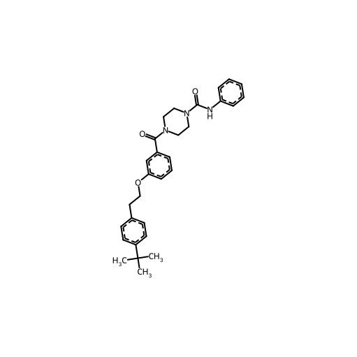 CC(C)(C)c1ccc(CCOc2cccc(C(=O)N3CCN(C(=O)Nc4ccccc4)CC3)c2)cc1